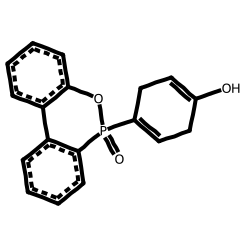 O=P1(C2=CCC(O)=CC2)Oc2ccccc2-c2ccccc21